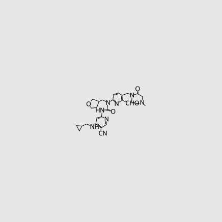 CN1CCN(Cc2ccc(N(CC3CCOC3)C(=O)Nc3cc(NCC4CC4)c(C#N)cn3)nc2C=O)C(=O)C1